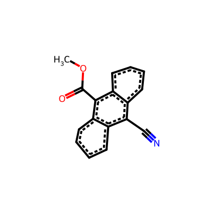 COC(=O)c1c2ccccc2c(C#N)c2ccccc12